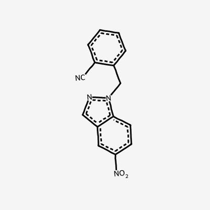 N#Cc1ccccc1Cn1ncc2cc([N+](=O)[O-])ccc21